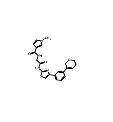 Cn1ccc(C(=O)NCC(=O)Nc2nc(-c3cccc(C4=CCCOC4)c3)cs2)c1